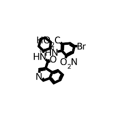 O=C(O)c1cc(Br)cc([N+](=O)[O-])c1N[C@@H]1CCCC[C@@H]1NC(=O)c1cncc2ccccc12